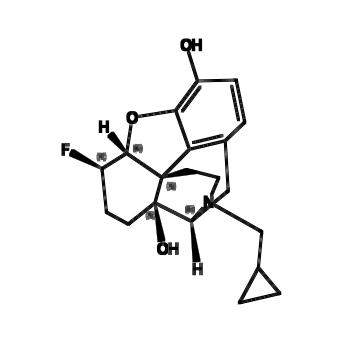 Oc1ccc2c3c1O[C@H]1[C@H](F)CC[C@@]4(O)[C@@H](C2)N(CC2CC2)CC[C@]314